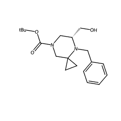 CC(C)(C)OC(=O)N1C[C@H](CO)N(Cc2ccccc2)C2(CC2)C1